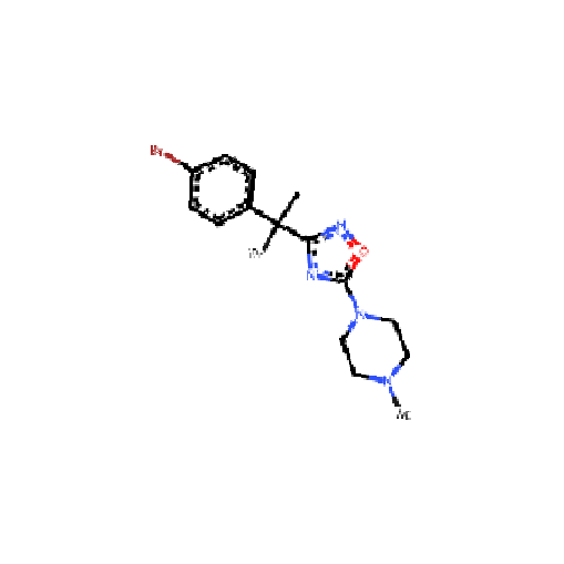 CC(=O)N1CCN(c2nc(C(C)(c3ccc(Br)cc3)C(C)C)no2)CC1